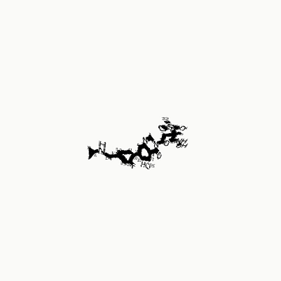 CC(CCn1cnc2cc(-c3ccc(CNC4CC4)cc3F)ccc2c1=O)(C(=O)NO)S(C)(=O)=O.Cl